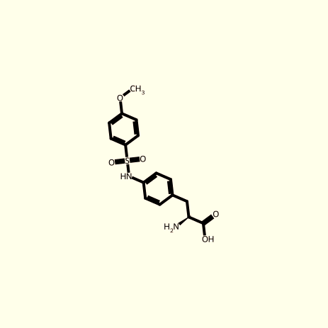 COc1ccc(S(=O)(=O)Nc2ccc(C[C@H](N)C(=O)O)cc2)cc1